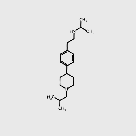 CC(C)CN1CCC(c2ccc(CCNC(C)C)cc2)CC1